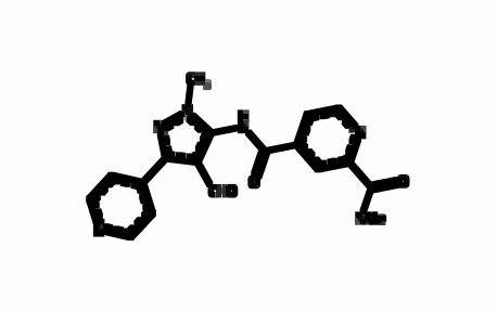 CNC(=O)c1cc(C(=O)Nc2c(C=O)c(-c3ccncc3)nn2C)ccn1